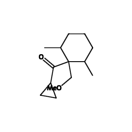 COCC1(C(=O)C2CC2)C(C)CCCC1C